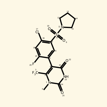 Cn1c(C(F)(F)F)c(-c2cc(S(=O)(=O)N3CCCC3)c(Cl)cc2F)c(=O)[nH]c1=O